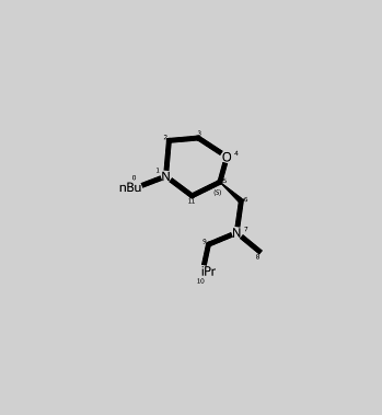 CCCCN1CCO[C@@H](CN(C)CC(C)C)C1